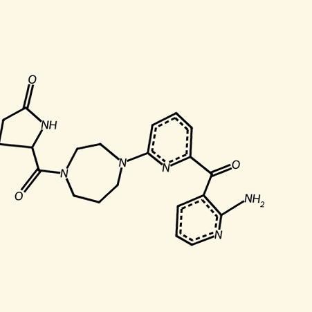 Nc1ncccc1C(=O)c1cccc(N2CCCN(C(=O)C3CCC(=O)N3)CC2)n1